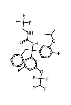 CC(C)Oc1cc([C@@](Cc2ccccc2)(NC(=O)NCC(F)(F)F)c2cc(F)cc(OC(F)(F)C(F)F)c2)ccc1F